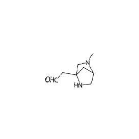 CN1CC2(CC=O)CC1CN2